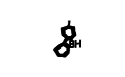 C[C@H]1C=CC2=C(C=C1)C1=C(B2)C=CCC=C1